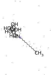 CCCCCCCCCCCCCC/C=C/NCC(O)CO[C@@H]1[C@@H](O)[C@@H](O)[C@@H](CO)O[C@H]1O